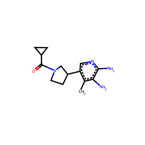 Cc1c(C2CCN(C(=O)C3CC3)C2)cnc(N)c1N